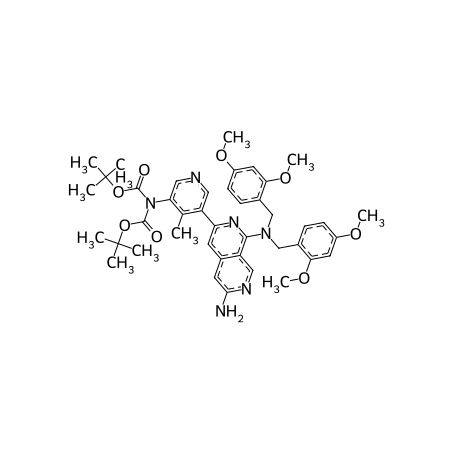 COc1ccc(CN(Cc2ccc(OC)cc2OC)c2nc(-c3cncc(N(C(=O)OC(C)(C)C)C(=O)OC(C)(C)C)c3C)cc3cc(N)ncc23)c(OC)c1